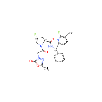 Cc1nn(CC(=O)N2C[C@H](F)C[C@H]2C(=O)N[C@@H](c2ccccc2)c2ccc(C(C)C)c(F)n2)c(=O)o1